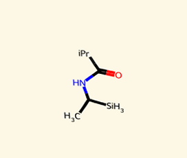 CC([SiH3])NC(=O)C(C)C